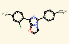 Cc1ccc(-c2nc(-c3ccc(C(=O)O)cc3)n3ccoc23)c(Cl)c1